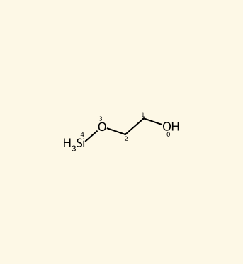 OCCO[SiH3]